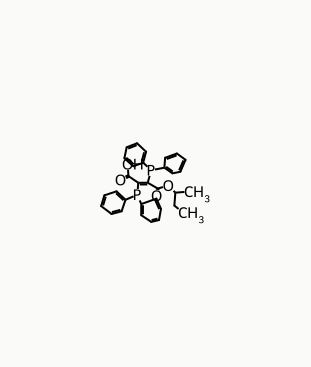 CCC(C)OC(=O)C(=C(C(=O)O)P(c1ccccc1)c1ccccc1)P(c1ccccc1)c1ccccc1